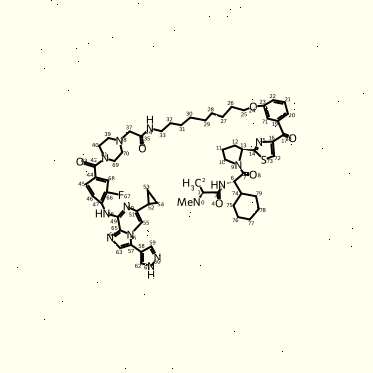 CN[C@@H](C)C(=O)N[C@H](C(=O)N1CCC[C@H]1c1nc(C(=O)c2cccc(OCCCCCCCCCNC(=O)CN3CCN(C(=O)c4ccc(Nc5nc(C6CC6)cn6c(-c7cn[nH]c7)cnc56)c(F)c4)CC3)c2)cs1)C1CCCCC1